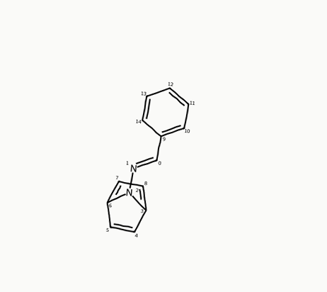 C(=N\n1c2ccc1cc2)/c1ccccc1